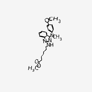 COC(=O)CCCCCCNc1nc(N(C)c2ccc(OC)cc2)c2ccccc2n1